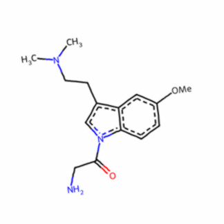 COc1ccc2c(c1)c(CCN(C)C)cn2C(=O)CN